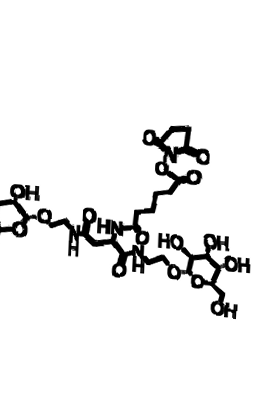 C[C@H]1CC[C@H](O)[C@H](OCCNC(=O)CC(NC(=O)CCCCC(=O)ON2C(=O)CCC2=O)C(=O)NCCO[C@H]2O[C@H](CO)[C@@H](O)[C@H](O)[C@@H]2O)O1